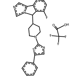 Fc1cccc2c1C(C1CCN(c3ncc(-c4ccccc4)s3)CC1)n1cncc1-2.O=C(O)C(F)(F)F